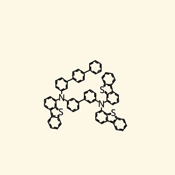 c1ccc(-c2ccc(-c3cccc(N(c4cccc(-c5cccc(N(c6cccc7c6sc6ccccc67)c6cccc7c6sc6ccccc67)c5)c4)c4cccc5c4sc4ccccc45)c3)cc2)cc1